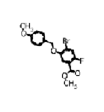 COC(=O)c1cc(OCc2ccc(OC)cc2)c(Br)cc1F